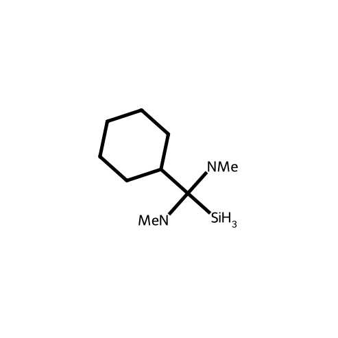 CNC([SiH3])(NC)C1CCCCC1